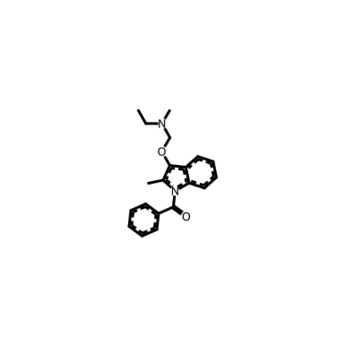 CCN(C)COc1c(C)n(C(=O)c2ccccc2)c2ccccc12